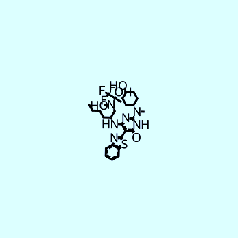 CCCCC(CN(O)C(C)(O)C(F)(F)F)Nc1nc(N(C)[C@H]2CC[C@H](O)CC2)[nH]c(=O)c1-c1nc2ccccc2s1